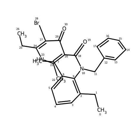 CCc1cccc(CC)c1N(Cc1ccccc1)C(=O)c1c(C)[nH]c(CC)c(Br)c1=O